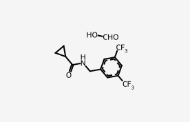 O=C(NCc1cc(C(F)(F)F)cc(C(F)(F)F)c1)C1CC1.O=CO